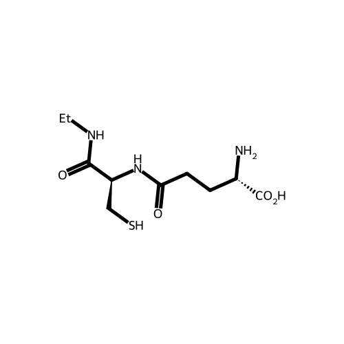 CCNC(=O)[C@H](CS)NC(=O)CC[C@H](N)C(=O)O